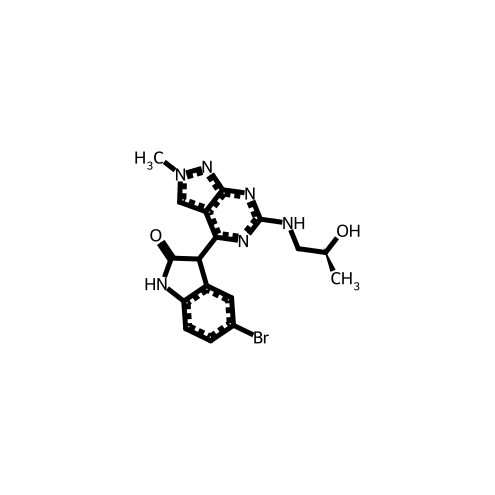 C[C@H](O)CNc1nc(C2C(=O)Nc3ccc(Br)cc32)c2cn(C)nc2n1